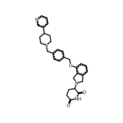 O=C1CCC(N2Cc3cccc(OCc4ccc(CN5CCC(c6cccnc6)CC5)cc4)c3C2)C(=O)N1